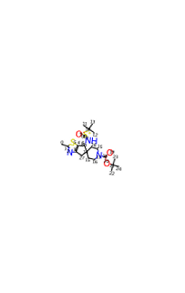 Cc1nc2c(s1)[C@H](N[S@@+]([O-])C(C)(C)C)C1(CCN(C(=O)OC(C)(C)C)CC1)C2